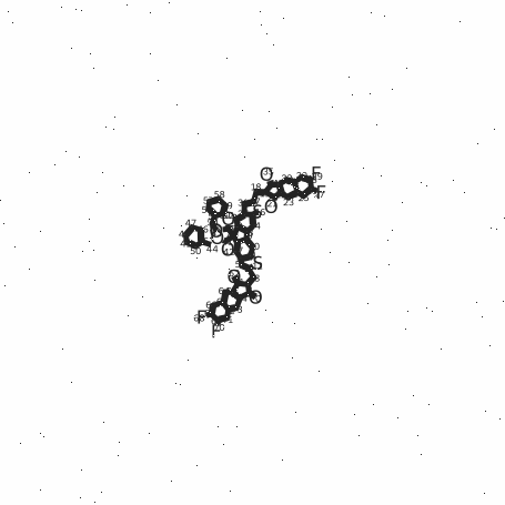 O=C1C(=Cc2cc3cc4c(cc3s2)-c2cc3sc(C=C5C(=O)c6cc7cc(F)c(F)cc7cc6C5=O)cc3cc2C4(C(=O)OCc2ccccc2)C(=O)OCc2ccccc2)C(=O)c2cc3cc(F)c(F)cc3cc21